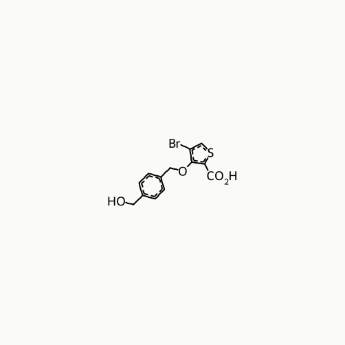 O=C(O)c1scc(Br)c1OCc1ccc(CO)cc1